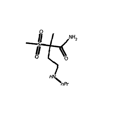 CCCNCCC(C)(C(N)=O)S(C)(=O)=O